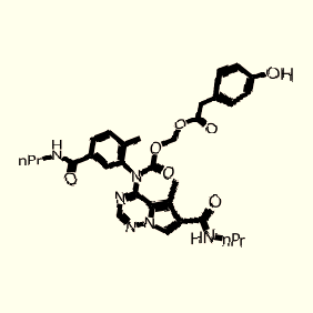 CCCNC(=O)c1ccc(C)c(N(C(=O)OCOC(=O)Cc2ccc(O)cc2)c2ncnn3cc(C(=O)NCCC)c(C)c23)c1